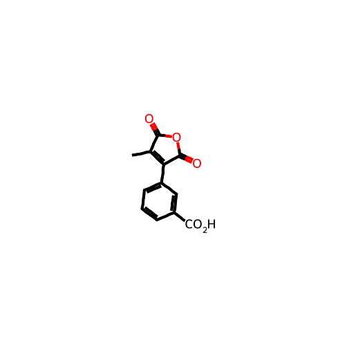 CC1=C(c2cccc(C(=O)O)c2)C(=O)OC1=O